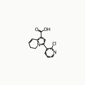 O=C(O)c1cc(-c2cccnc2Cl)n2c1C=CCC2